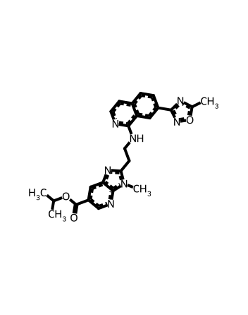 Cc1nc(-c2ccc3ccnc(NCCc4nc5cc(C(=O)OC(C)C)cnc5n4C)c3c2)no1